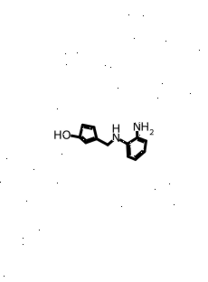 Nc1ccccc1NCC1=C=C(O)C=C1